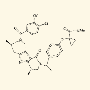 CNC(=O)C1(Oc2ccc(C(C)N3C[C@@H](C)n4nc5c(c4C3=O)CN(C(=O)c3ccc(Cl)c(C#N)c3)[C@H](C)C5)cc2)CC1